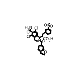 CS(=O)(=O)c1cccc(C[C@H](C(=O)O)C2c3cc(Cl)c(C(N)=O)c(Cl)c3CCN2C(=O)c2ccc3ccoc3c2)c1